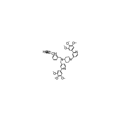 COc1cc(-c2cc(CN3CCC(N(Cc4ccccc4)Cc4ccnc(-c5cc(OC)c(OC)c(OC)c5)c4)CC3)ccn2)cc(OC)c1OC.Cl.Cl.Cl.Cl